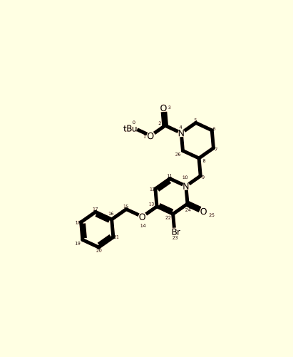 CC(C)(C)OC(=O)N1CCCC(Cn2ccc(OCc3ccccc3)c(Br)c2=O)C1